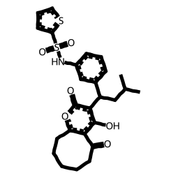 CC(C)CC(c1cccc(NS(=O)(=O)c2cccs2)c1)c1c(O)c2c(oc1=O)CCCCCC2=O